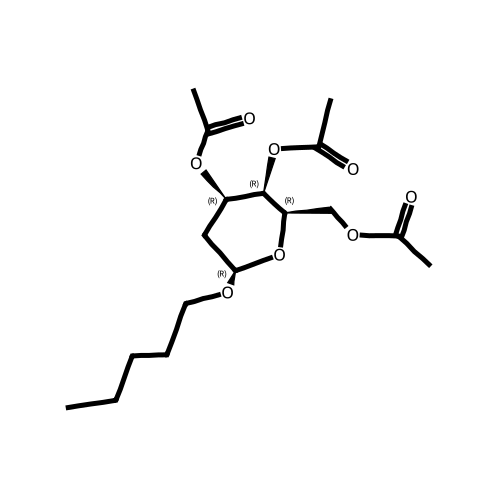 CCCCCO[C@H]1C[C@@H](OC(C)=O)[C@@H](OC(C)=O)[C@@H](COC(C)=O)O1